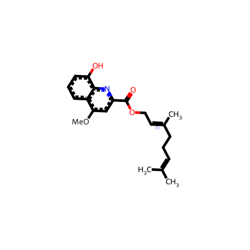 COc1cc(C(=O)OC/C=C(\C)CCC=C(C)C)nc2c(O)cccc12